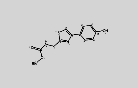 CC(C)(C)OC(=O)NCc1nc(-c2ccc(O)cc2)cs1